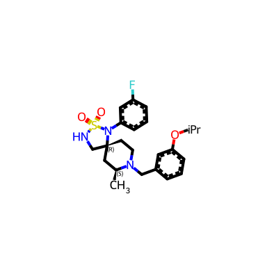 CC(C)Oc1cccc(CN2CC[C@]3(CNS(=O)(=O)N3c3cccc(F)c3)C[C@@H]2C)c1